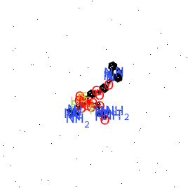 BP(=O)(OC[C@H]1O[C@@H](n2cnc3c(N)ncnc32)[C@H](F)[C@@H]1OP(=O)(OCC)SCc1ccc(OC(=O)c2ccc(OCCn3nnc4c3-c3ccccc3N(C)Cc3ccccc3-4)cc2)cc1)O[C@@H]1CO[C@@H](n2cnc3c(=O)[nH]c(N)nc32)[C@@H]1F